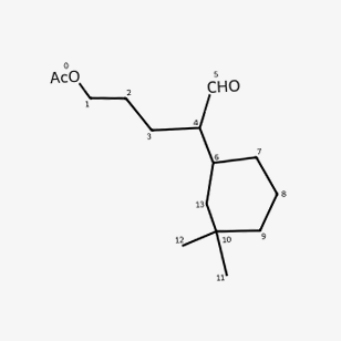 CC(=O)OCCCC(C=O)C1CCCC(C)(C)C1